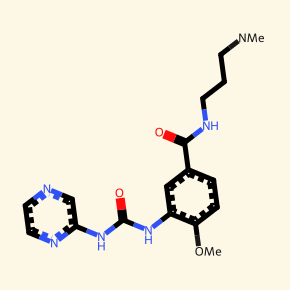 CNCCCNC(=O)c1ccc(OC)c(NC(=O)Nc2cnccn2)c1